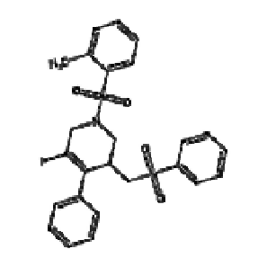 Cc1ccccc1S(=O)(=O)N1CC(I)=C(c2ccccc2)C(CS(=O)(=O)c2ccccc2)C1